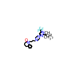 CC(C)(C)c1nc(N2CCN(CCCCN3C(=O)CCCc4ccccc43)CC2)cc(C(F)(F)F)n1